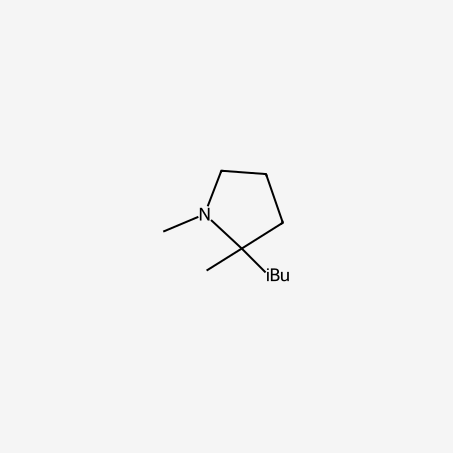 CCC(C)C1(C)CCCN1C